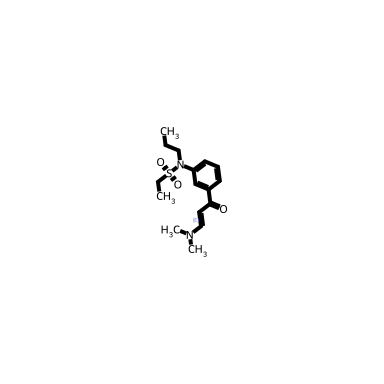 CCCN(c1cccc(C(=O)/C=C/N(C)C)c1)S(=O)(=O)CC